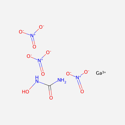 NC(=O)NO.O=[N+]([O-])[O-].O=[N+]([O-])[O-].O=[N+]([O-])[O-].[Ga+3]